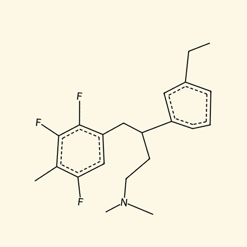 CCc1cccc(C(CCN(C)C)Cc2cc(F)c(C)c(F)c2F)c1